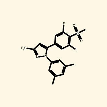 Cc1cc(C)cc(-n2nc(C(F)(F)F)cc2-c2cc(F)c(S(C)(=O)=O)c(F)c2)c1